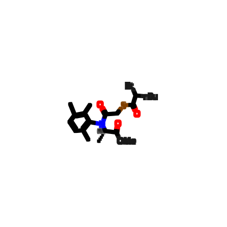 CCCCC(CC)C(=O)SCC(=O)N(c1c(C)ccc(C)c1C)[C@@H](C)C(=O)OC